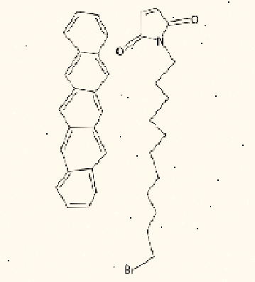 O=C1C=CC(=O)N1CCCCCCCCCCCBr.c1ccc2cc3cc4cc5ccccc5cc4cc3cc2c1